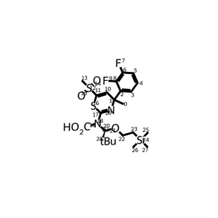 CC1(c2cccc(F)c2F)C=C(S(C)(=O)=O)SC(N(C(=O)O)[C@@H](OCC[Si](C)(C)C)C(C)(C)C)=N1